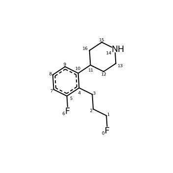 FCCCc1c(F)cccc1C1CCNCC1